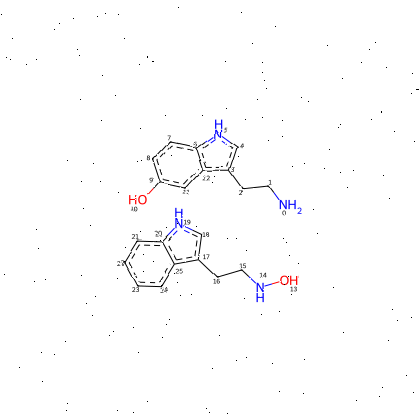 NCCc1c[nH]c2ccc(O)cc12.ONCCc1c[nH]c2ccccc12